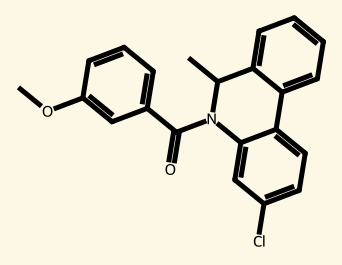 COc1cccc(C(=O)N2c3cc(Cl)ccc3-c3ccccc3C2C)c1